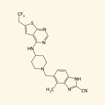 Cc1c(CN2CCC(Nc3ncnc4sc(CC(F)(F)F)cc34)CC2)ccc2[nH]c(C#N)nc12